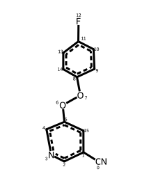 N#Cc1cncc(OOc2ccc(F)cc2)c1